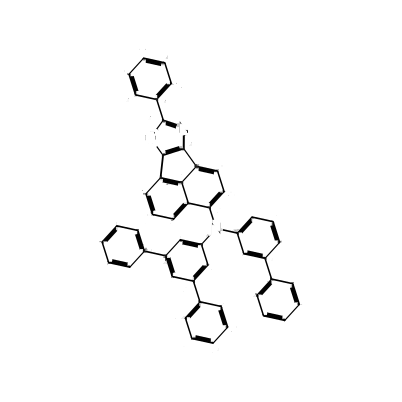 c1ccc(-c2cccc(N(c3cc(-c4ccccc4)cc(-c4ccccc4)c3)c3ccc4c5c(cccc35)-c3oc(-c5ccccc5)nc3-4)c2)cc1